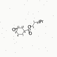 CC(C)CCOC(=O)C1CCC2OC2C1